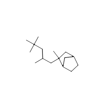 CC(CC(C)(C)C)CC1(C)CC2CCC1C2